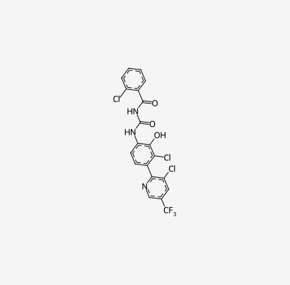 O=C(NC(=O)c1ccccc1Cl)Nc1ccc(-c2ncc(C(F)(F)F)cc2Cl)c(Cl)c1O